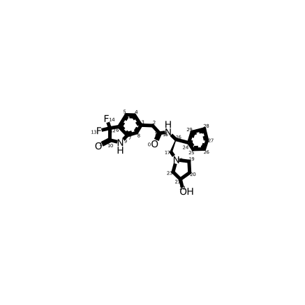 O=C(Cc1ccc2c(c1)NC(=O)C2(F)F)N[C@H](CN1CCC(O)C1)c1ccccc1